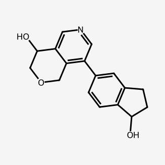 OC1CCc2cc(-c3cncc4c3COCC4O)ccc21